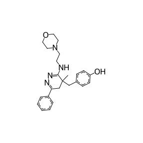 CC1(Cc2ccc(O)cc2)CC(c2ccccc2)=NN=C1NCCN1CCOCC1